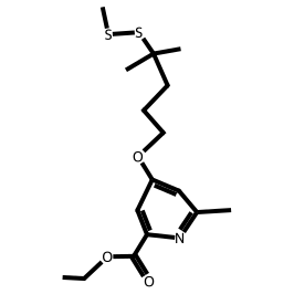 CCOC(=O)c1cc(OCCCC(C)(C)SSC)cc(C)n1